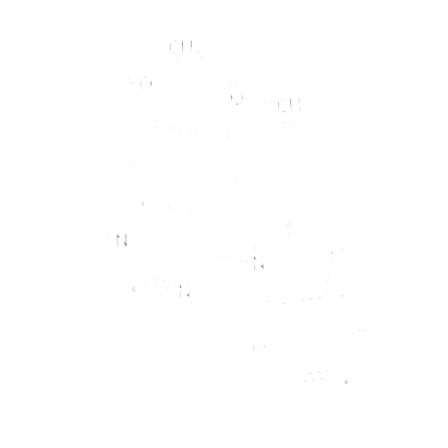 COc1cc2ncnc(N3[C]Cc4ccccc43)c2cc1OC